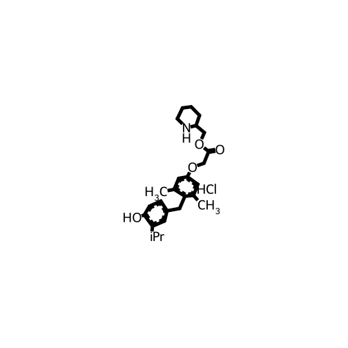 Cc1cc(OCC(=O)OCC2CCCCN2)cc(C)c1Cc1ccc(O)c(C(C)C)c1.Cl